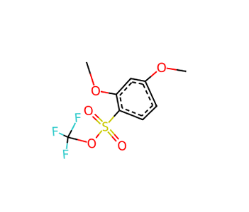 COc1ccc(S(=O)(=O)OC(F)(F)F)c(OC)c1